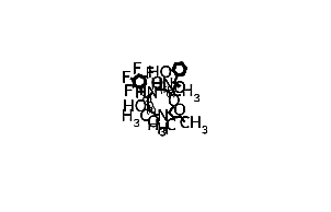 CCC(C)C1NC(=O)[C@H](C)[C@H](O)[C@H](Cc2cc(F)c(F)c(F)c2F)NC(=O)[C@@H](NC(=O)c2ccccc2O)[C@@H](C)OC1=O